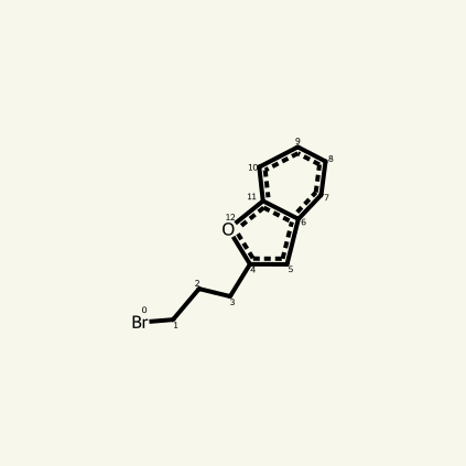 BrCCCc1cc2ccccc2o1